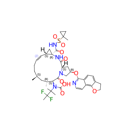 C[C@H]1CC/C=C\[C@@H]2C[C@@]2(C(=O)NS(=O)(=O)C2(C)CC2)NC(=O)[C@@H]2C[C@@H](Oc3nccc4c5c(ccc34)CCO5)CN2C(=O)[C@@H](N(C(=O)O)C(C)(C)C(C)(F)F)[C@H](C)C1